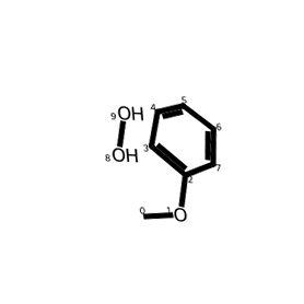 COc1ccccc1.OO